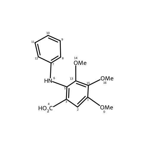 COc1cc(C(=O)O)c(Nc2ccccc2)c(OC)c1OC